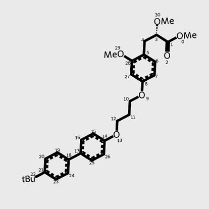 COC(=O)[C@H](Cc1ccc(OCCCOc2ccc(-c3ccc(C(C)(C)C)cc3)cc2)cc1OC)OC